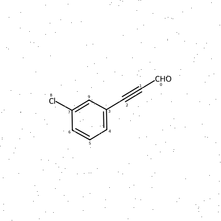 O=CC#Cc1cccc(Cl)c1